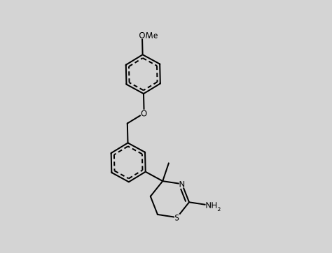 COc1ccc(OCc2cccc(C3(C)CCSC(N)=N3)c2)cc1